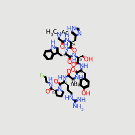 CCCC[C@@H](NC(=O)[C@H](Cc1ccc(O)cc1)NC(=O)[C@H](CO)NC(=O)[C@H](Cc1c[nH]c2ccccc12)NC(=O)[C@H](Cc1c[nH]cn1)NC(=O)CN(C)C(C)=O)C(=O)N[C@@H](CCCNC(=N)N)C(=O)N1CCC[C@H]1C(=O)NCCF